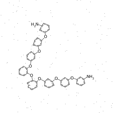 Nc1cccc(Oc2cccc(Oc3cccc(Oc4ccccc4Oc4ccccc4Oc4cccc(Oc5cccc(Oc6cccc(N)c6)c5)c4)c3)c2)c1